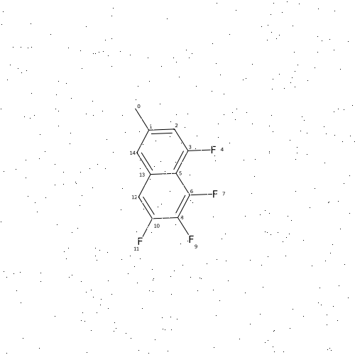 Cc1cc(F)c2c(F)c(F)c(F)cc2c1